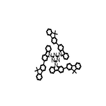 CC1(C)c2ccccc2-c2ccc(-c3ccc4c5ccccc5n(-c5nc(-n6c7ccccc7c7ccc(-c8ccc9c(c8)C(C)(C)c8ccccc8-9)cc76)nc(-n6c7ccccc7c7ccc(-c8ccc9c(c8)C(C)(C)c8ccccc8-9)cc76)n5)c4c3)cc21